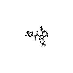 Cc1cc(NC(=O)c2nn(CC(C)(F)F)c3ncnc(N)c23)n[nH]1